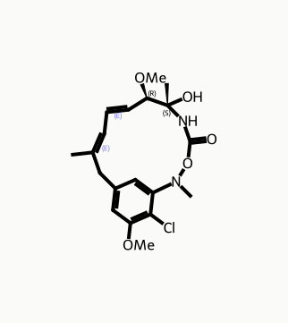 COc1cc2cc(c1Cl)N(C)OC(=O)N[C@@](C)(O)[C@H](OC)/C=C/C=C(\C)C2